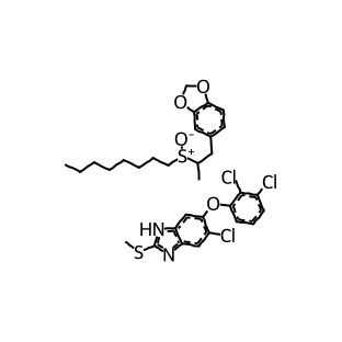 CCCCCCCC[S+]([O-])C(C)Cc1ccc2c(c1)OCO2.CSc1nc2cc(Cl)c(Oc3cccc(Cl)c3Cl)cc2[nH]1